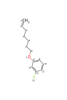 C=CCCCCCOc1cc[c]c(F)c1